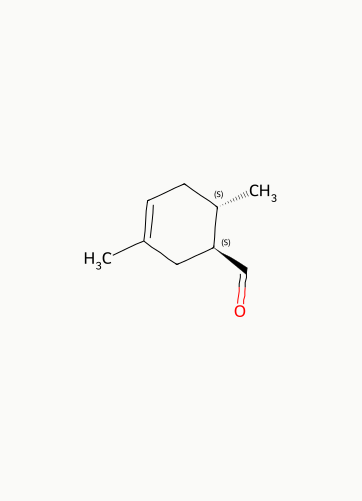 CC1=CC[C@H](C)[C@@H](C=O)C1